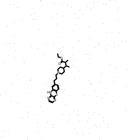 CCOC(=O)C(C)C(C)C1CCN(CCCc2ccc3c(c2)Nc2nccnc2S3)CC1